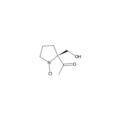 CC(=O)[C@@]1(CO)CCCN1Cl